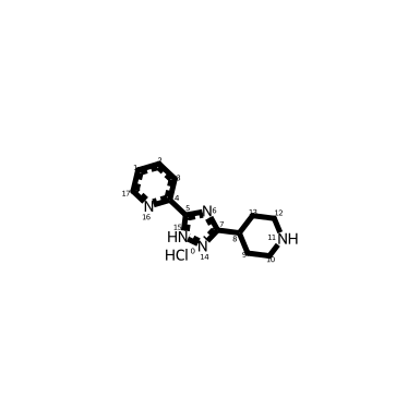 Cl.c1ccc(-c2nc(C3CCNCC3)n[nH]2)nc1